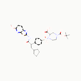 COc1ccc2nc(NC(=O)C(CC3CCCC3)c3ccc(S(=O)(=O)N4CCN(C(=O)OC(C)(C)C)CC4C(=O)O)cc3)sc2n1